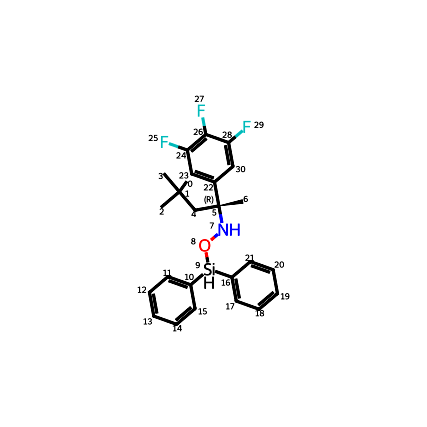 CC(C)(C)C[C@@](C)(NO[SiH](c1ccccc1)c1ccccc1)c1cc(F)c(F)c(F)c1